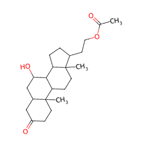 CC(=O)OCCC1CCC2C3C(O)CC4CC(=O)CCC4(C)C3CCC12C